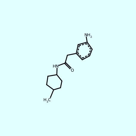 CC1CCC(NC(=O)Cc2cccc(N)c2)CC1